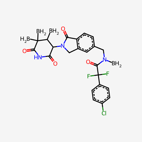 BC1C(N2Cc3cc(CN(B)C(=O)C(F)(F)c4ccc(Cl)cc4)ccc3C2=O)C(=O)NC(=O)C1(B)B